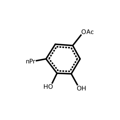 CCCc1cc(OC(C)=O)cc(O)c1O